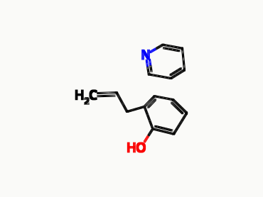 C=CCc1ccccc1O.c1ccncc1